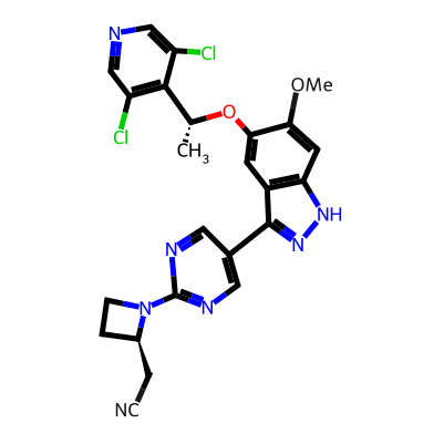 COc1cc2[nH]nc(-c3cnc(N4CC[C@@H]4CC#N)nc3)c2cc1O[C@H](C)c1c(Cl)cncc1Cl